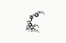 CC[C@H]1C(=O)Nc2c(cc(NCc3cnn(Cc4cccc(OC)n4)c3)nc2C)N1C